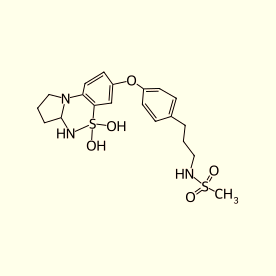 CS(=O)(=O)NCCCc1ccc(Oc2ccc3c(c2)S(O)(O)NC2CCCN32)cc1